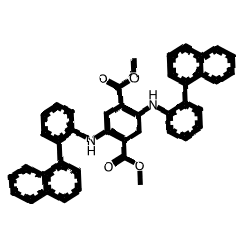 COC(=O)C1=C(Nc2ccccc2-c2cccc3ccccc23)CC(C(=O)OC)=C(Nc2ccccc2-c2cccc3ccccc23)C1